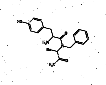 CCC(C)C(C(N)=O)N(Cc1ccccc1)C(=O)C(N)Cc1ccc(O)cc1